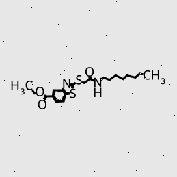 CCCCCCCCNC(=O)CSc1nc2cc(C(=O)OCC)ccc2s1